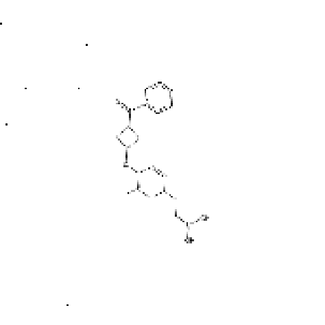 CC1=C(OC2CN(C(=O)c3ccccc3)C2)C=CC(CCB(O)O)C1